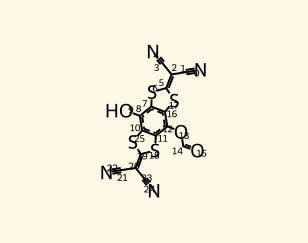 N#CC(C#N)=C1Sc2c(O)c3c(c(OC=O)c2S1)SC(=C(C#N)C#N)S3